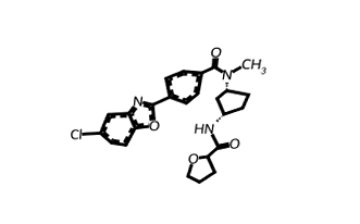 CN(C(=O)c1ccc(-c2nc3cc(Cl)ccc3o2)cc1)[C@@H]1CC[C@H](NC(=O)C2CCCO2)C1